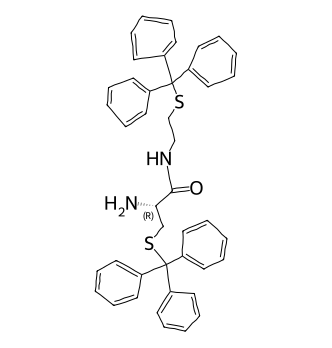 N[C@@H](CSC(c1ccccc1)(c1ccccc1)c1ccccc1)C(=O)NCCSC(c1ccccc1)(c1ccccc1)c1ccccc1